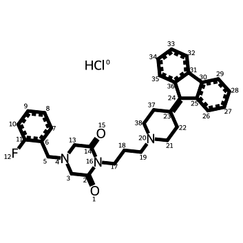 Cl.O=C1CN(Cc2ccccc2F)CC(=O)N1CCCN1CCC(=C2c3ccccc3-c3ccccc32)CC1